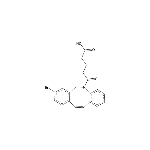 O=C(O)CCCC(=O)N1Cc2cc(Br)ccc2C=Cc2ccccc21